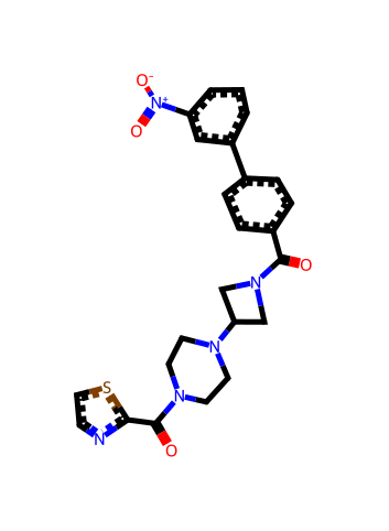 O=C(c1ccc(-c2cccc([N+](=O)[O-])c2)cc1)N1CC(N2CCN(C(=O)c3nccs3)CC2)C1